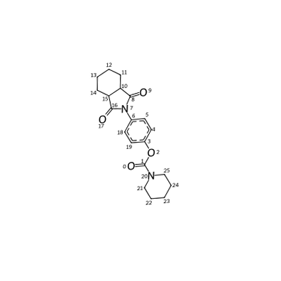 O=C(Oc1ccc(N2C(=O)C3CCCCC3C2=O)cc1)N1CCCCC1